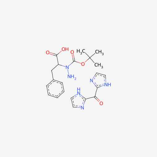 CC(C)(C)OC(=O)N(N)C(Cc1ccccc1)C(=O)O.O=C(c1ncc[nH]1)c1ncc[nH]1